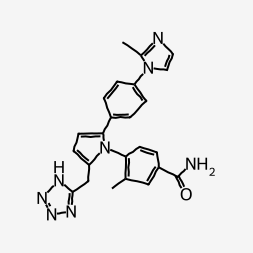 Cc1cc(C(N)=O)ccc1-n1c(Cc2nnn[nH]2)ccc1-c1ccc(-n2ccnc2C)cc1